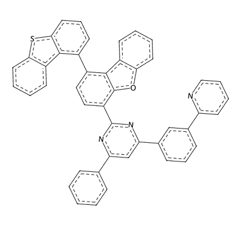 c1ccc(-c2cc(-c3cccc(-c4ccccn4)c3)nc(-c3ccc(-c4cccc5sc6ccccc6c45)c4c3oc3ccccc34)n2)cc1